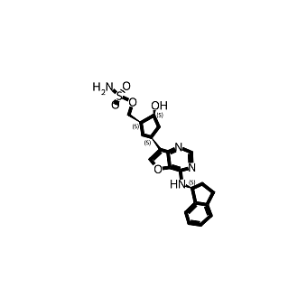 NS(=O)(=O)OC[C@@H]1C[C@H](c2coc3c(N[C@H]4CCc5ccccc54)ncnc23)C[C@@H]1O